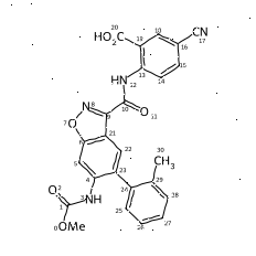 COC(=O)Nc1cc2onc(C(=O)Nc3ccc(C#N)cc3C(=O)O)c2cc1-c1ccccc1C